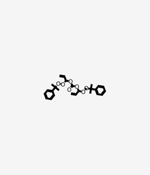 C=CC(OOC(C)(C)c1ccccc1)OC(=O)OC(C=C)OOC(C)(C)c1ccccc1